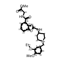 CCOc1cc(CN2CCC(Nc3nc4c(C(=O)NCC(=O)OC)cccc4o3)CC2)ccc1OC